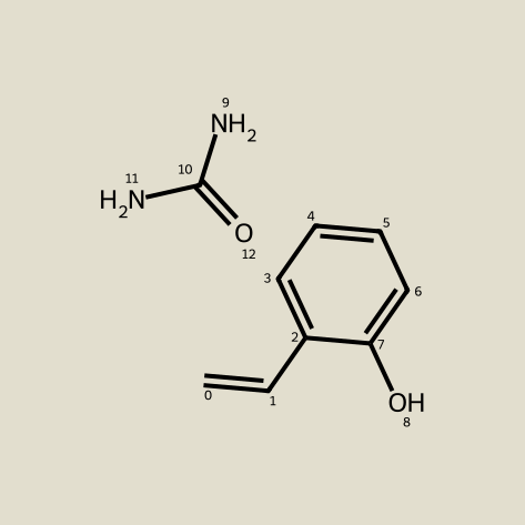 C=Cc1ccccc1O.NC(N)=O